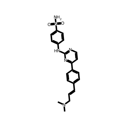 CN(C)CC=Cc1ccc(-c2ccnc(Nc3ccc(S(N)(=O)=O)cc3)n2)cc1